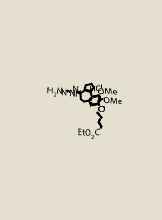 CCOC(=O)CCCCOc1cc2c(c(OC)c1OC)C1=C(CCC1)C(=NNC=NN)CC2.Cl